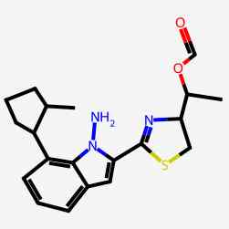 CC1CCCC1c1cccc2cc(C3=NC(C(C)OC=O)CS3)n(N)c12